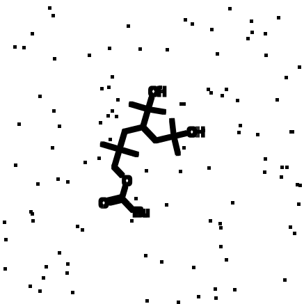 CCC(C)C(=O)OCC(C)(C)CC(CC(C)(C)O)C(C)(C)O